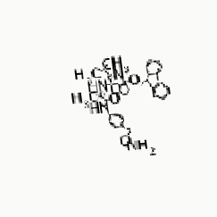 CC(C)[C@H](NC(=O)OCC1c2ccccc2-c2ccccc21)C(=O)N[C@@H](C)C(=O)Nc1ccc(CON)cc1